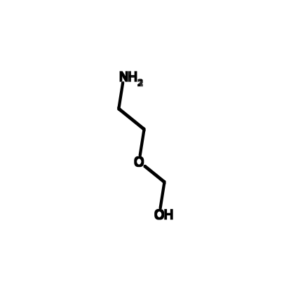 NCCOCO